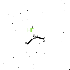 C[Si]C.F